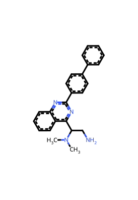 CN(C)C(CN)c1nc(-c2ccc(-c3ccccc3)cc2)nc2ccccc12